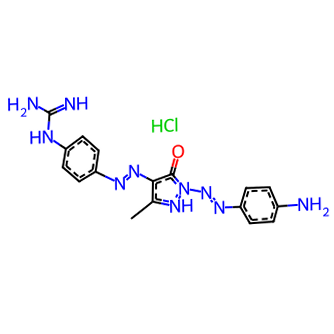 Cc1[nH]n(/N=N/c2ccc(N)cc2)c(=O)c1/N=N/c1ccc(NC(=N)N)cc1.Cl